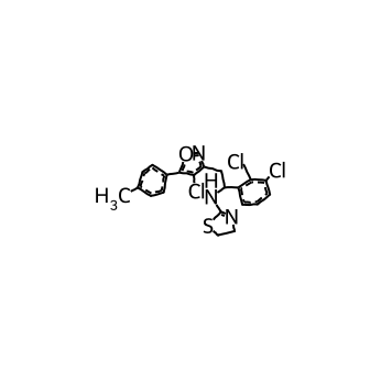 Cc1ccc(-c2onc(CC(NC3=NCCS3)c3cccc(Cl)c3Cl)c2Cl)cc1